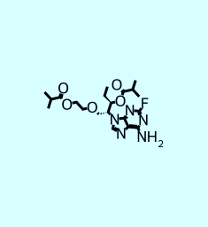 CC[C@@H](OC(=O)C(C)C)[C@@H](COCCOC(=O)C(C)C)n1cnc2c(N)nc(F)nc21